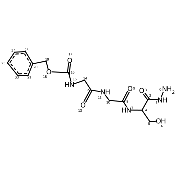 NNC(=O)C(CO)NC(=O)CNC(=O)CNC(=O)OCc1ccccc1